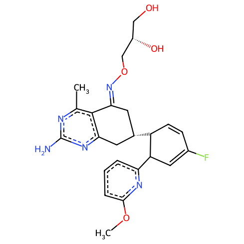 COc1cccc(C2C=C(F)C=CC2[C@H]2C/C(=N\OC[C@@H](O)CO)c3c(C)nc(N)nc3C2)n1